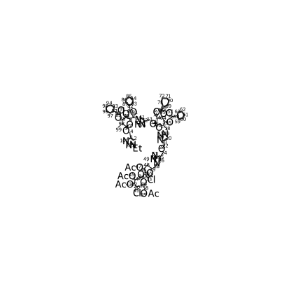 CCn1cc(COC2O[C@H](Cn3cc(COC4O[C@H](Cn5cc(COCc6cn(C[C@H]7OC(CCl)(OC8O[C@H](COC(C)=O)[C@H](Cl)[C@H](OC(C)=O)C8OC(C)=O)[C@@H](OC(C)=O)[C@@H]7C)nn6)nn5)[C@@H](OC(=O)c5ccccc5)[C@H](OC(=O)c5ccccc5)[C@@H]4C)nn3)[C@@H](OC(=O)c3ccccc3)[C@H](OC(=O)c3ccccc3)[C@@H]2C)nn1